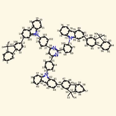 CC1(C)c2ccccc2-c2ccc(-c3ccc4c5ccccc5n(-c5ccc(-c6cc(-c7ccc(-n8c9ccccc9c9ccc(-c%10ccc%11c(c%10)C(C)(C)c%10ccccc%10-%11)cc98)cc7)nc(-c7cccc(-n8c9ccccc9c9ccc(-c%10ccc%11c(c%10)C(C)(C)c%10ccccc%10-%11)cc98)c7)n6)cc5)c4c3)cc21